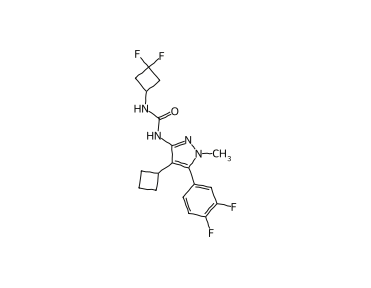 Cn1nc(NC(=O)NC2CC(F)(F)C2)c(C2CCC2)c1-c1ccc(F)c(F)c1